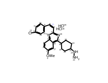 COc1ccc2nc(/C=C\c3ccc(Cl)cc3)nc(C3CCC(NN)CC3)c2c1.Cl.Cl